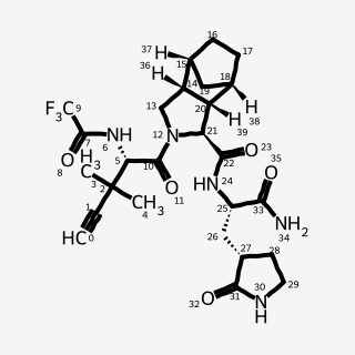 C#CC(C)(C)[C@H](NC(=O)C(F)(F)F)C(=O)N1C[C@@H]2[C@@H]3CC[C@@H](C3)[C@@H]2[C@H]1C(=O)N[C@@H](C[C@@H]1CCNC1=O)C(N)=O